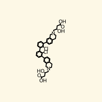 O=C(O)CC(O)CN1CCc2ccc(-c3cccc(-c4cccc(-c5ccc6c(c5)CN(CC(O)CC(=O)O)CC6)c4Cl)c3Cl)cc2C1